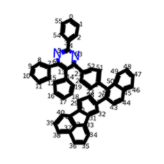 c1ccc(-c2nc(-c3ccccc3)c(-c3ccccc3)c(-c3ccc(-c4c(-c5ccc6c(c5)-c5cccc7cccc-6c57)ccc5ccccc45)cc3)n2)cc1